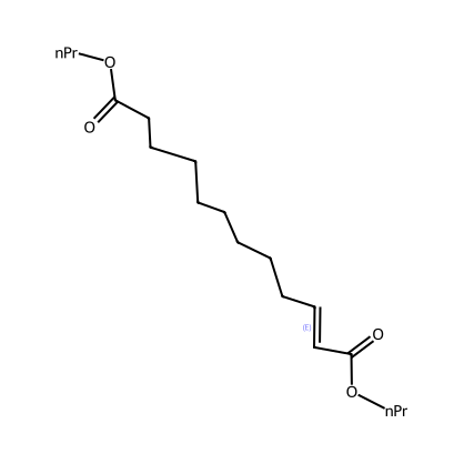 CCCOC(=O)/C=C/CCCCCCCCC(=O)OCCC